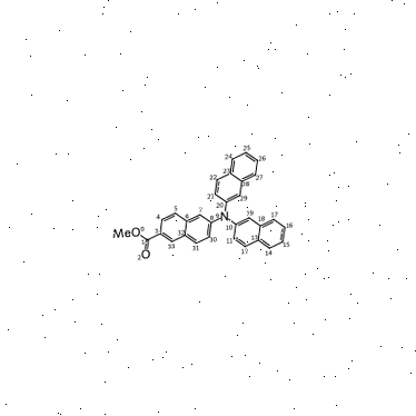 COC(=O)c1ccc2cc(N(c3ccc4ccccc4c3)c3ccc4ccccc4c3)ccc2c1